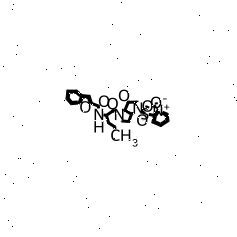 CCCC(NC(=O)c1cc2ccccc2o1)C(=O)N1CCC2C1C(=O)CN2S(=O)(=O)c1cccc[n+]1[O-]